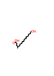 CC(CCCC=CCC=CCCCCO)CCC(=O)O